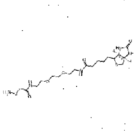 NOCC(=O)NCCOCCOCCNC(=O)CCCCC1SC[C@@H]2NC(=O)N[C@H]12